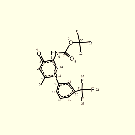 Cc1cc(=O)c(NC(=O)OC(C)(C)C)nn1-c1cccc(C(F)(F)F)c1